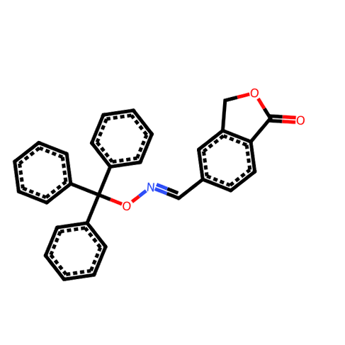 O=C1OCc2cc(C=NOC(c3ccccc3)(c3ccccc3)c3ccccc3)ccc21